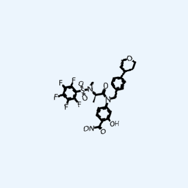 C[C@H](C(=O)N(Cc1ccc(C2CCOCC2)cc1)c1ccc(C(=O)N=O)c(O)c1)N(C)S(=O)(=O)c1c(F)c(F)c(F)c(F)c1F